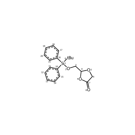 CC(C)(C)[Si](OCC1OCC(=O)O1)(c1ccccc1)c1ccccc1